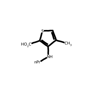 CCCNc1c(C)csc1C(=O)O